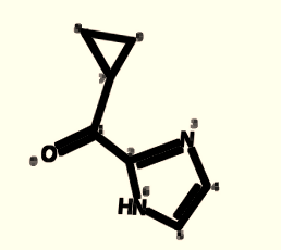 O=C(c1ncc[nH]1)C1CC1